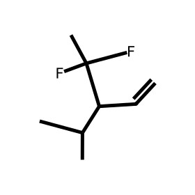 C=CC(C(C)C)C(C)(F)F